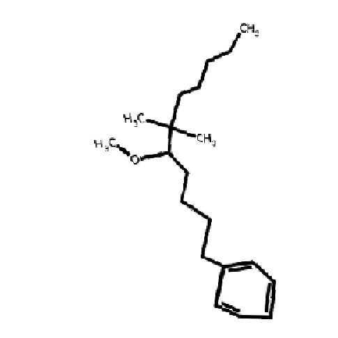 CCCCCC(C)(C)[C](CCCCc1ccccc1)OC